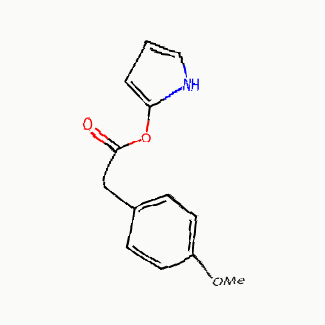 COc1ccc(CC(=O)Oc2ccc[nH]2)cc1